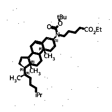 CCOC(=O)CCCCN(C(=O)OC(C)(C)C)[C@H]1CC[C@@]2(C)C(=CCC3C2CC[C@@]2(C)C3CC[C@@H]2[C@H](C)CCCC(C)C)C1